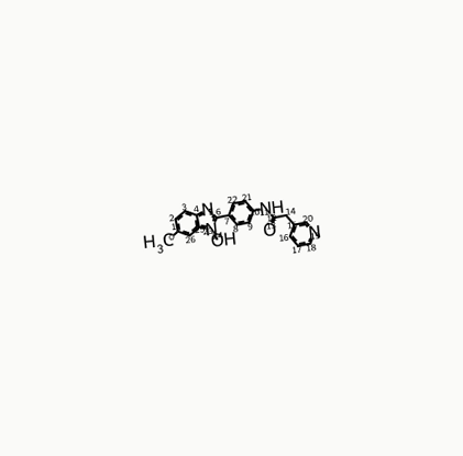 Cc1ccc2nc(-c3ccc(NC(=O)Cc4cccnc4)cc3)n(O)c2c1